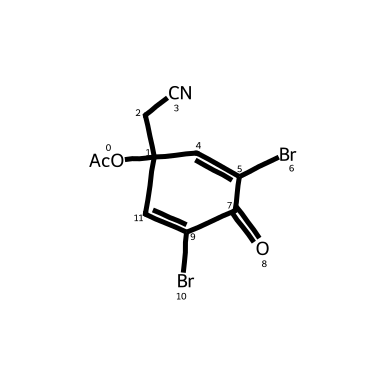 CC(=O)OC1(CC#N)C=C(Br)C(=O)C(Br)=C1